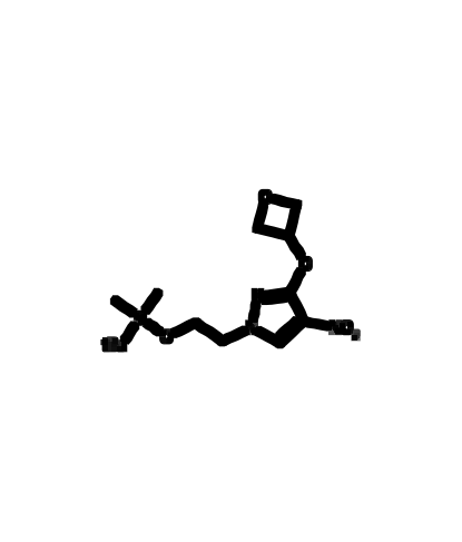 CC(C)(C)[Si](C)(C)OCCn1cc([N+](=O)[O-])c(OC2COC2)n1